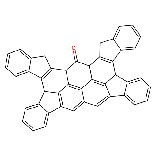 O=C1C2C3=C(c4ccccc4C3)C3c4ccccc4-c4cc5cc6c7c(c5c2c43)C1C1=C(c2ccccc2C1)C7c1ccccc1-6